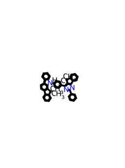 CC1(C)c2ccccc2-c2nc(-c3ccccc3)nc(-c3ccc(-n4c5ccccc5c5ccc6c(c54)C(C)(C)c4ccccc4-6)cc3)c21